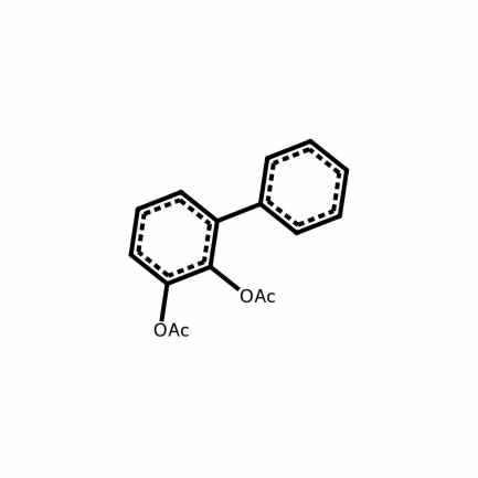 CC(=O)Oc1cccc(-c2ccccc2)c1OC(C)=O